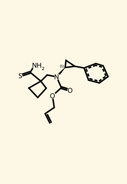 C=CCOC(=O)N(CC1(C(N)=S)CCC1)[C@H]1CC1c1ccccc1